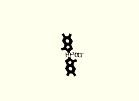 Cc1cc2c(cc1C)C(C)[C]([Hf+2][C]1=Cc3cc(C)c(C)cc3C1C)=C2.[Cl-].[Cl-]